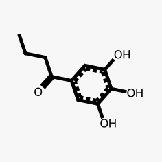 CCCC(=O)c1cc(O)c(O)c(O)c1